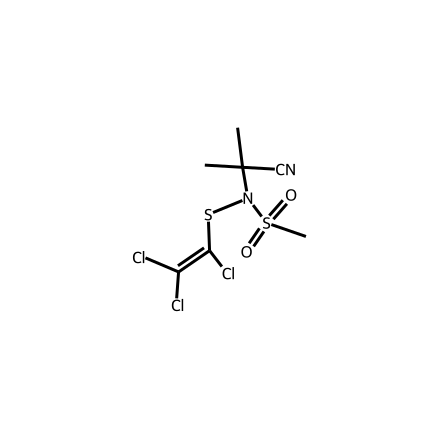 CC(C)(C#N)N(SC(Cl)=C(Cl)Cl)S(C)(=O)=O